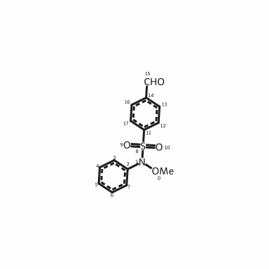 CON(c1ccccc1)S(=O)(=O)c1ccc(C=O)cc1